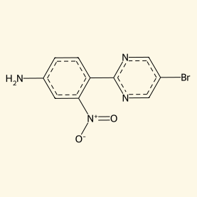 Nc1ccc(-c2ncc(Br)cn2)c([N+](=O)[O-])c1